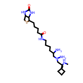 CNC(CN(N)CC(N)CCCCNC(=O)CCCCC1SCC2NC(=O)NC21)=C1CCC1